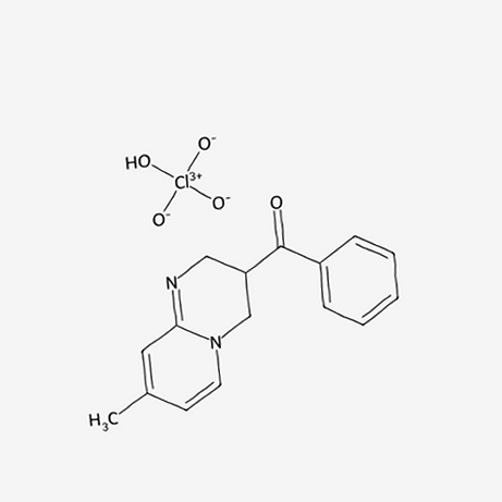 CC1=CC2=NCC(C(=O)c3ccccc3)CN2C=C1.[O-][Cl+3]([O-])([O-])O